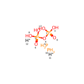 O=P(O)(O)OP(=O)(O)O.P.P.[H+].[H+]